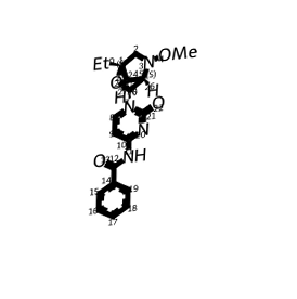 CC[C@]12CN(OC)[C@H]([C@H](n3ccc(NC(=O)c4ccccc4)nc3=O)O1)[C@H]2C